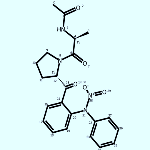 CC(=O)N[C@@H](C)C(=O)N1CCC[C@H]1C(=O)c1ccccc1N(c1ccccc1)[N+](=O)[O-]